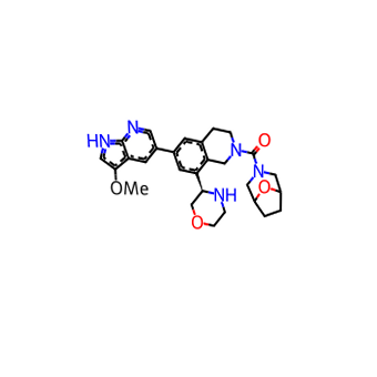 COc1c[nH]c2ncc(-c3cc4c(c([C@@H]5COCCN5)c3)CN(C(=O)N3CC5CCC(C3)O5)CC4)cc12